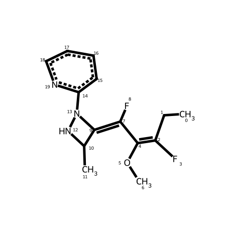 CC/C(F)=C(OC)\C(F)=C1/C(C)NN1c1ccccn1